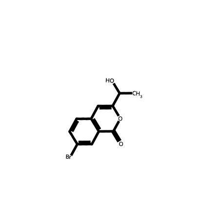 CC(O)c1cc2ccc(Br)cc2c(=O)o1